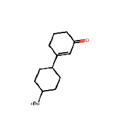 CCCCC1CCC(C2=CC(=O)CCC2)CC1